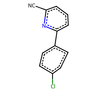 N#Cc1cccc(-c2ccc(Cl)cc2)n1